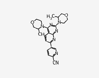 CC1COCCN1c1nc(N2CCOCC2C)c2ccc(-c3ccc(C#N)nc3)nc2n1